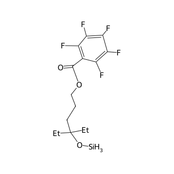 CCC(CC)(CCCOC(=O)c1c(F)c(F)c(F)c(F)c1F)O[SiH3]